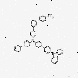 FC(F)(F)c1ccc(-c2cccc(-c3ccc(N(c4ccc(-c5ccccc5)cc4)c4ccc(-c5ccc(-n6c7ccccc7c7ccccc76)cc5)cc4)cc3)c2)cc1